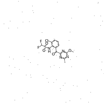 COc1nc(C)nc(C(=O)c2cccc(Cl)c2NS(=O)(=O)C(F)F)n1